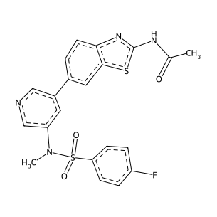 CC(=O)Nc1nc2ccc(-c3cncc(N(C)S(=O)(=O)c4ccc(F)cc4)c3)cc2s1